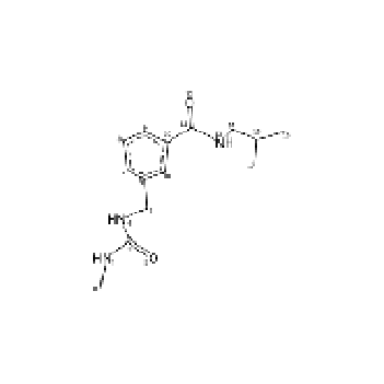 CNC(=O)NCc1cccc(C(=O)NCC(C)C)c1